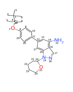 CC(C)(C)[Si](C)(C)Oc1ccc(-c2cc(N)c3cnn(C4CCCCO4)c3c2)cc1